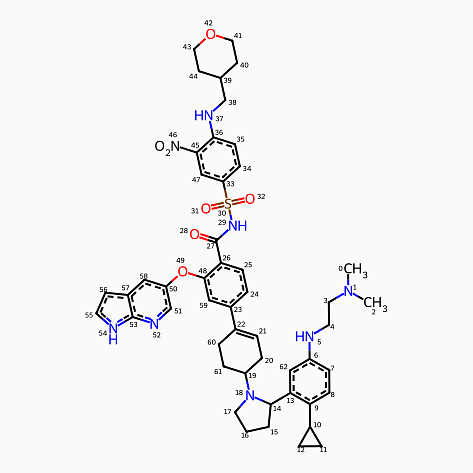 CN(C)CCNc1ccc(C2CC2)c(C2CCCN2C2CC=C(c3ccc(C(=O)NS(=O)(=O)c4ccc(NCC5CCOCC5)c([N+](=O)[O-])c4)c(Oc4cnc5[nH]ccc5c4)c3)CC2)c1